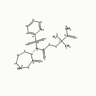 CC(C)(C[CH]C(=O)N([C@H]1CCCNCC1=O)S(=O)(=O)c1ccccn1)C(N)=O